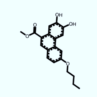 CCCCOc1ccc2cc(C(=O)OC)c3cc(O)c(O)cc3c2c1